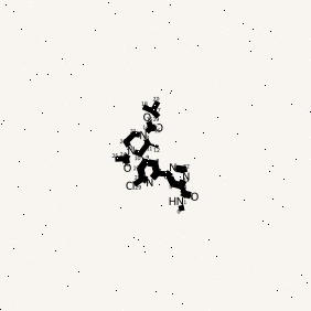 CNC(=O)c1cc(-c2cc([C@H]3[C@H](C)N(C(=O)OC(C)(C)C)CCN3C(C)=O)cc(Cl)n2)ncn1